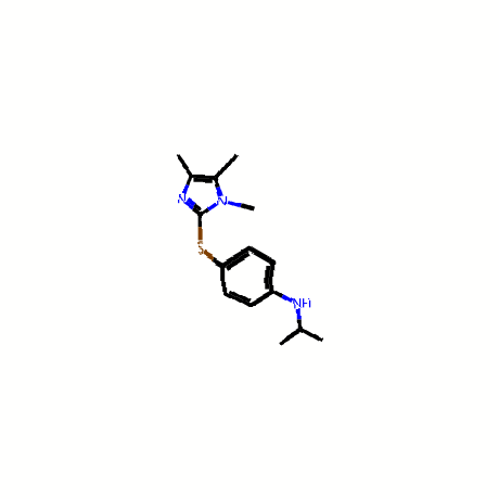 Cc1nc(Sc2ccc(NC(C)C)cc2)n(C)c1C